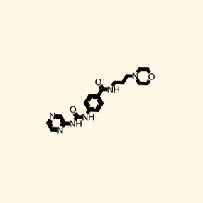 O=C(Nc1ccc(C(=O)NCCCN2CCOCC2)cc1)Nc1cnccn1